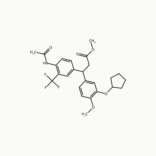 COC(=O)CC(c1ccc(OC)c(OC2CCCC2)c1)c1ccc(NC(C)=O)c(C(F)(F)F)c1